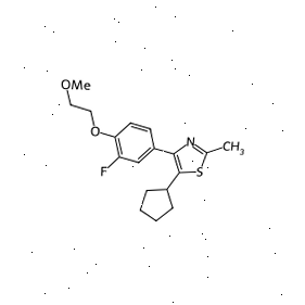 COCCOc1ccc(-c2nc(C)sc2C2CCCC2)cc1F